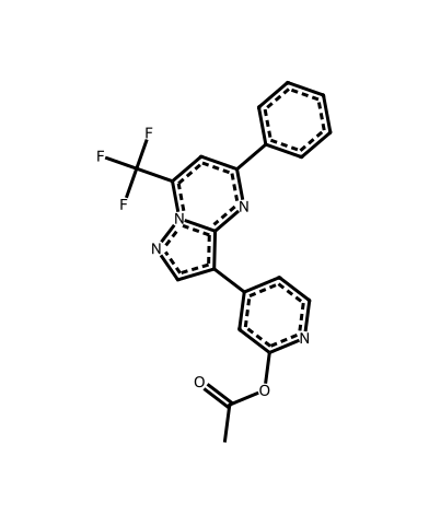 CC(=O)Oc1cc(-c2cnn3c(C(F)(F)F)cc(-c4ccccc4)nc23)ccn1